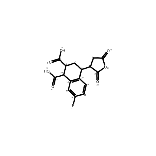 O=C1CC(C2CC(C(=O)O)C(C(=O)O)c3cc(F)ccc32)C(=O)O1